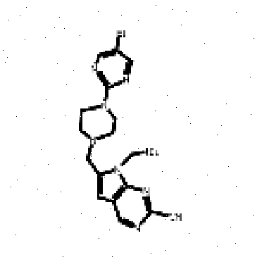 CCc1cnc(N2CCN(Cc3cc4cnc(C#N)nc4n3CC(C)(C)C)CC2)nc1